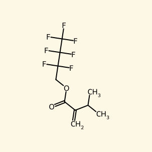 C=C(C(=O)OCC(F)(F)C(F)(F)C(F)(F)F)C(C)C